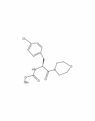 CC(C)(C)OC(=O)N[C@@H](Cc1ccc(Cl)cc1)C(=O)N1CCOCC1